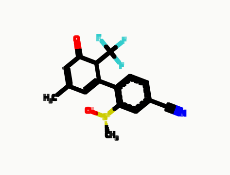 CC1=[C]C(=O)C(C(F)(F)F)C(c2ccc(C#N)cc2[S@+](C)[O-])=C1